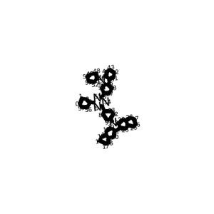 c1ccc(-c2nc(-c3ccc(-n4c5cc6ccccc6cc5c5cc6ccccc6cc54)cc3)nc(-c3ccc4c5ccccc5n(-c5ccccc5)c4c3)n2)cc1